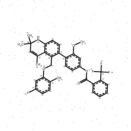 COc1cc(OC(=O)c2ccccc2C(F)(F)F)ccc1-c1ccc2c(c1COc1cc(F)ccc1C)C(C)=CC(C)(C)N2